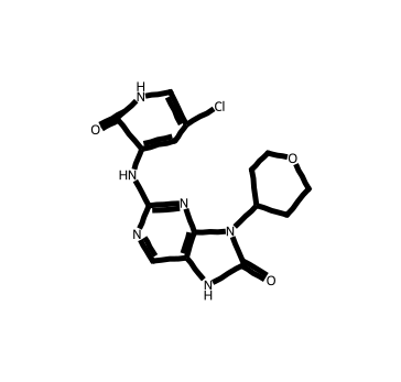 O=c1[nH]cc(Cl)cc1Nc1ncc2[nH]c(=O)n(C3CCOCC3)c2n1